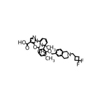 Cc1cccc(C2(C)C=CC=C3N2C(C)Oc2c(C(=O)O)cnn23)c1OCc1ccc2c(c1)CCN(CC1CC(F)(F)C1)C2